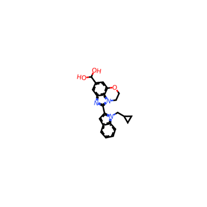 OC(O)c1cc2c3c(c1)nc(-c1cc4ccccc4n1CC1CC1)n3CCO2